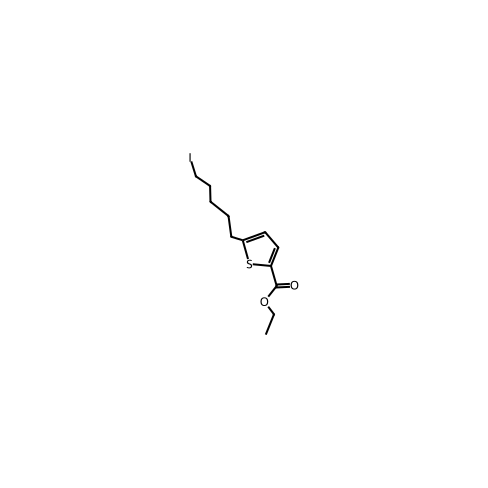 CCOC(=O)c1ccc(CCCCCI)s1